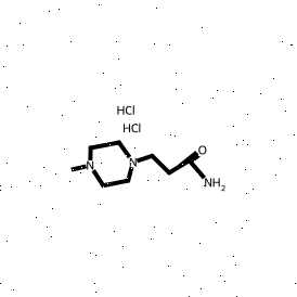 CN1CCN(CCC(N)=O)CC1.Cl.Cl